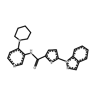 O=C(Nc1cnccc1N1CCCCC1)c1ccc(-n2ncc3ccccc32)s1